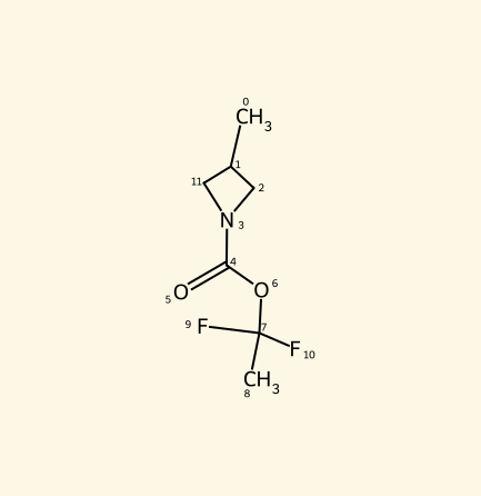 CC1CN(C(=O)OC(C)(F)F)C1